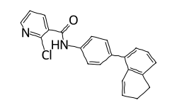 O=C(Nc1ccc(-c2cccc3c2C=CCC3)cc1)c1cccnc1Cl